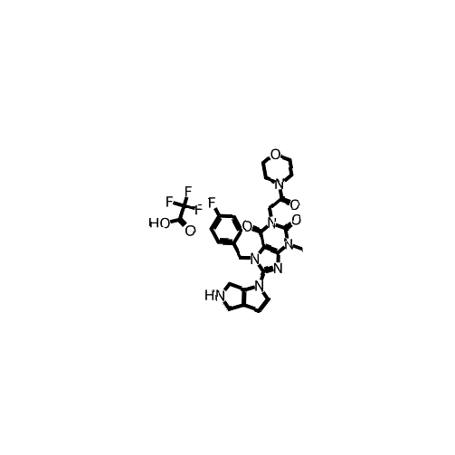 Cn1c(=O)n(CC(=O)N2CCOCC2)c(=O)c2c1nc(N1CCC3CNCC31)n2Cc1ccc(F)cc1.O=C(O)C(F)(F)F